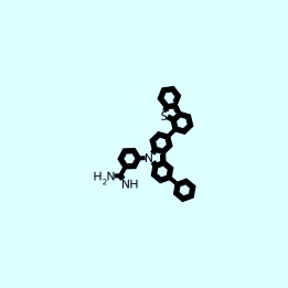 N=C(N)c1cccc(-n2c3ccc(-c4ccccc4)cc3c3cc(-c4cccc5c4sc4ccccc45)ccc32)c1